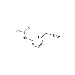 C#CCc1cccc(NC(N)=O)c1